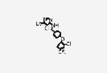 CCc1ncnc(NCc2ccc(Oc3ccc(C(F)(F)F)cc3Cl)cc2)c1Cl